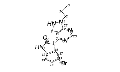 CCCN1NCc2c(C3C(=O)Nc4ccc(Br)cc43)ncnc21